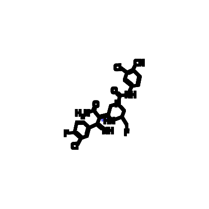 N#Cc1ccc(NC(=O)N2C/C(=C(/C(=N)c3ccc(F)c(Cl)c3)C(N)=O)NC(CF)C2)cc1Cl